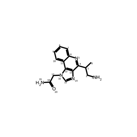 CC(CN)c1nc2ccccc2c2c1ncn2CC(N)=O